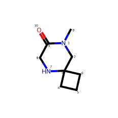 CN1CC2(CCC2)NCC1=O